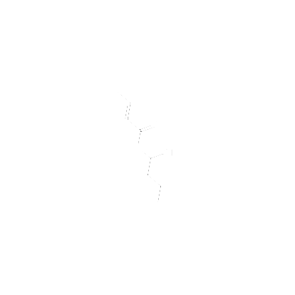 C/C=C/C(=O)OC(O)CCC